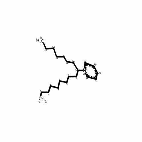 CCCCCCCCCC(CCCCCCC)[n+]1ccccc1